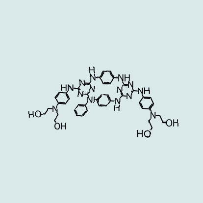 OCCN(CCO)c1ccc(Nc2nc(Nc3ccccc3)nc(Nc3ccc(Nc4nc(Nc5ccccc5)nc(Nc5ccc(N(CCO)CCO)cc5)n4)cc3)n2)cc1